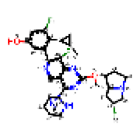 C[C@@H]1C[C@@H]1c1c(F)cc(O)cc1-c1ncc2c(N3CC4CCC3CN4)nc(OC[C@]34CCCN3C[C@@H](F)C4)nc2c1F